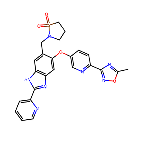 Cc1nc(-c2ccc(Oc3cc4nc(-c5ccccn5)[nH]c4cc3CN3CCCS3(=O)=O)cn2)no1